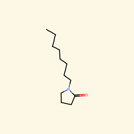 CCCCCCCCN1CCCC1=O